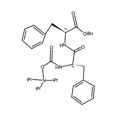 CC(C)COC(=O)[C@H](Cc1ccccc1)NC(=O)[C@H](Cc1ccccc1)NC(=O)O[Si](C(C)C)(C(C)C)C(C)C